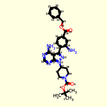 CC(C)(C)OC(=O)N1CCC(n2nc(-c3ccc(C(=O)OCc4ccccc4)cc3N)c3c(N)ncnc32)CC1